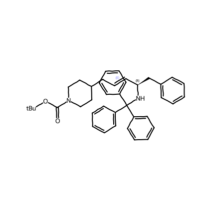 CC(C)(C)OC(=O)N1CCC(C/C=C/[C@@H](Cc2ccccc2)NC(c2ccccc2)(c2ccccc2)c2ccccc2)CC1